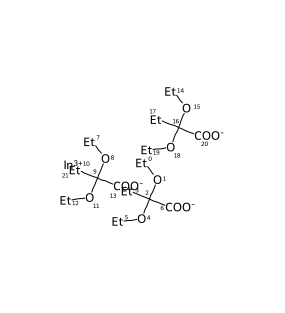 CCOC(CC)(OCC)C(=O)[O-].CCOC(CC)(OCC)C(=O)[O-].CCOC(CC)(OCC)C(=O)[O-].[In+3]